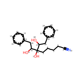 N#CCCCCC(O)(C(O)Cc1ccccc1)C(O)Cc1ccccc1